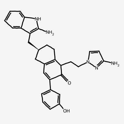 Nc1ccn(CCC2C(=O)C(c3cccc(O)c3)=CC3=C2CC[C@H](Cc2c(N)[nH]c4ccccc24)C3)n1